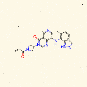 C=CC(=O)N1CC(n2cnc3c(Nc4c(C)ccc5cn[nH]c45)cncc3c2=O)C1